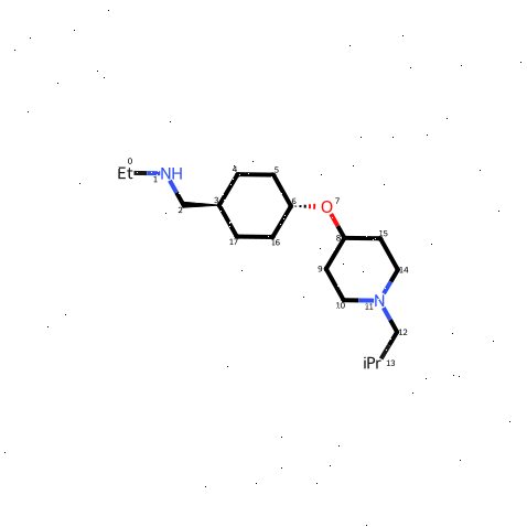 CCNC[C@H]1CC[C@H](OC2CCN(CC(C)C)CC2)CC1